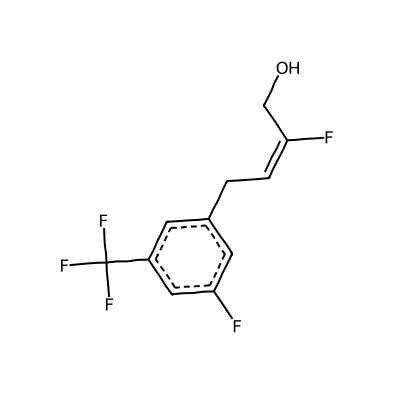 OC/C(F)=C\Cc1cc(F)cc(C(F)(F)F)c1